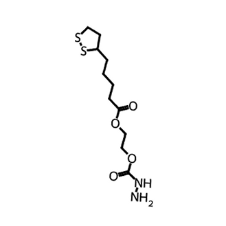 NNC(=O)OCCOC(=O)CCCCC1CCSS1